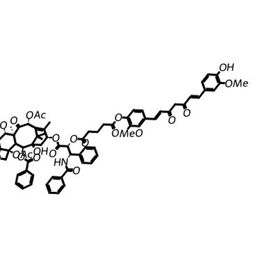 COc1cc(/C=C/C(=O)CC(=O)/C=C/c2ccc(OC(=O)CCCC(=O)O[C@@H](C(=O)O[C@H]3CC4(O)[C@@H](OC(=O)c5ccccc5)C5[C@](C)(C(=O)[C@H](OC(C)=O)C(=C3C)C4(C)C)[C@@H](O)C[C@H]3OC[C@@]53OC(C)=O)[C@@H](NC(=O)c3ccccc3)c3ccccc3)c(OC)c2)ccc1O